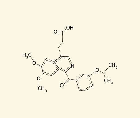 COc1cc2c(CCC(=O)O)cnc(C(=O)c3cccc(OC(C)C)c3)c2cc1OC